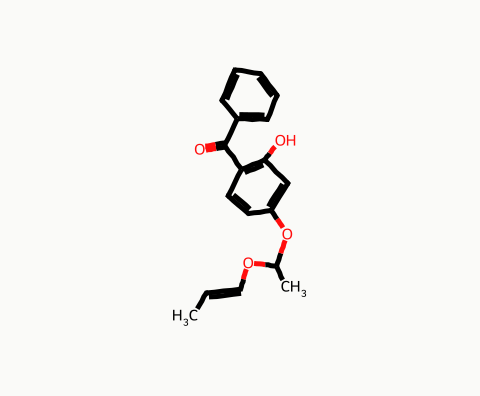 CC=COC(C)Oc1ccc(C(=O)c2ccccc2)c(O)c1